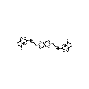 O=C(NCCCC1OCC2(CO1)COC(CCCNC(=O)ON1C(=O)CCC1=O)OC2)ON1C(=O)CCC1=O